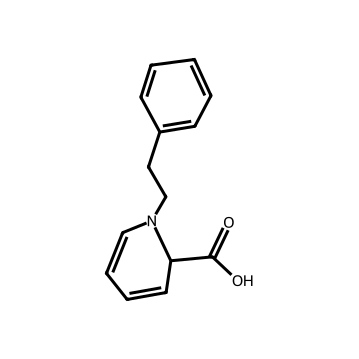 O=C(O)C1C=CC=CN1CCc1ccccc1